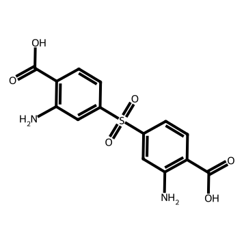 Nc1cc(S(=O)(=O)c2ccc(C(=O)O)c(N)c2)ccc1C(=O)O